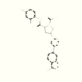 Nc1n[nH]c2cc(-c3cn(C4CC(C(=O)Nc5ccc(Cl)cc5Cl)N(C(=O)O)C4)nn3)ccc12